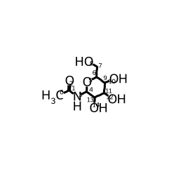 CC(=O)NC1OC(CO)C(O)C(O)C1O